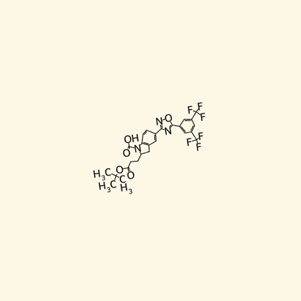 CC(C)(C)OC(=O)CCC1Cc2cc(-c3noc(-c4cc(C(F)(F)F)cc(C(F)(F)F)c4)n3)ccc2N1C(=O)O